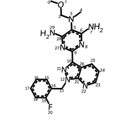 COCN(C)c1c(N)nc(-c2nn(Cc3ccccc3F)c3ncccc23)nc1N